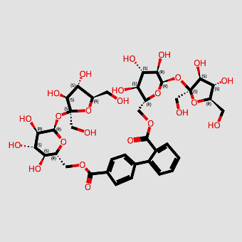 O=C(OC[C@H]1O[C@H](O[C@]2(CO)O[C@H](CO)[C@@H](O)[C@@H]2O)[C@H](O)[C@@H](O)[C@@H]1O)c1ccc(-c2ccccc2C(=O)OC[C@H]2O[C@H](O[C@]3(CO)O[C@H](CO)[C@@H](O)[C@@H]3O)[C@H](O)[C@@H](O)[C@@H]2O)cc1